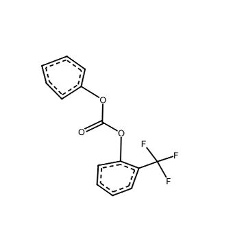 O=C(Oc1ccccc1)Oc1ccccc1C(F)(F)F